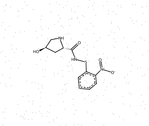 O=C(NSc1ccccc1[N+](=O)[O-])[C@@H]1C[C@@H](O)CN1